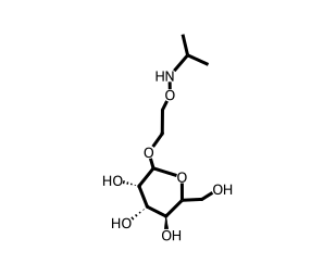 CC(C)NOCCOC1OC(CO)[C@@H](O)[C@H](O)[C@@H]1O